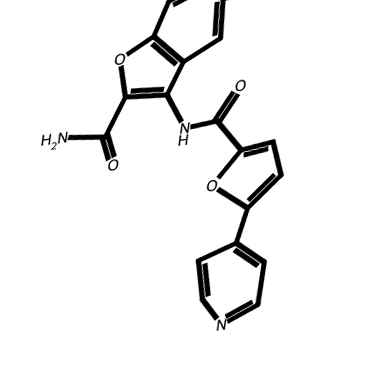 NC(=O)c1oc2ccc(F)cc2c1NC(=O)c1ccc(-c2ccncc2)o1